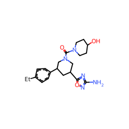 CCc1ccc(C2CC(c3nc(N)no3)CN(C(=O)N3CCC(O)CC3)C2)cc1